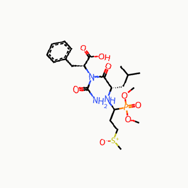 COP(=O)(OC)C(CC[S+](C)[O-])N[C@@H](CC(C)C)C(=O)N(C(N)=O)[C@@H](Cc1ccccc1)C(=O)O